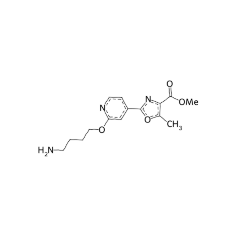 COC(=O)c1nc(-c2ccnc(OCCCCN)c2)oc1C